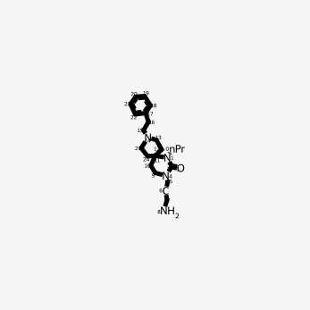 CCCN1C(=O)N(CCCN)CCC12CCN(CCc1ccccc1)CC2